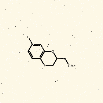 COC[C@H]1CSc2ccc(F)cc2O1